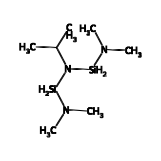 CC(C)N([SiH2]N(C)C)[SiH2]N(C)C